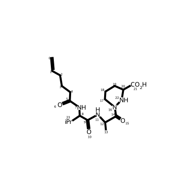 C=CCCCC(=O)NC(C(=O)NC(C)C(=O)N1CCCC(C(=O)O)N1)C(C)C